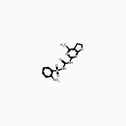 Cc1nc(NC(=O)NS(=O)(=O)c2ccccc2[N+](=O)[O-])nc2c1CCO2